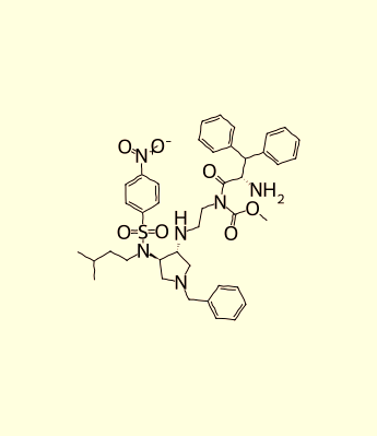 COC(=O)N(CCN[C@@H]1CN(Cc2ccccc2)C[C@H]1N(CCC(C)C)S(=O)(=O)c1ccc([N+](=O)[O-])cc1)C(=O)[C@@H](N)C(c1ccccc1)c1ccccc1